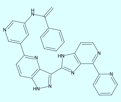 C=C(Nc1cncc(-c2ccc3[nH]nc(-c4nc5c(-c6ccccn6)nccc5[nH]4)c3n2)c1)c1ccccc1